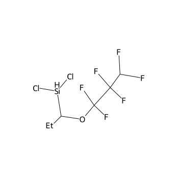 CCC(OC(F)(F)C(F)(F)C(F)F)[SiH](Cl)Cl